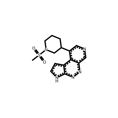 CS(=O)(=O)N1CCCC(c2cncc3nnc4[nH]ccc4c23)C1